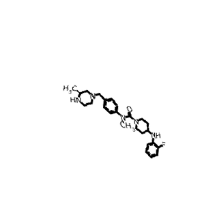 C[C@H]1CN(Cc2ccc(N(C)C(=O)N3CCC(Nc4ccccc4F)CC3)cc2)CCN1